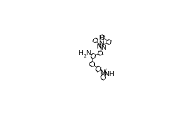 CC1Nc2ccccc2N1c1ccc(-c2cccc(-c3cc(N)cc(-c4cccc(C5=NC(c6ccccc6)NC(c6ccccc6C6C=CC=CC6)=N5)c4)c3)c2)cc1